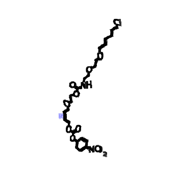 O=C(NCCOCCOCCCCCCCl)OCCOC/C=C\COC(=O)Oc1ccc([N+](=O)[O-])cc1